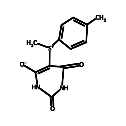 Cc1ccc([S+](C)c2c([O-])[nH]c(=O)[nH]c2=O)cc1